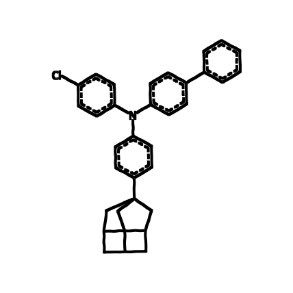 Clc1ccc(N(c2ccc(-c3ccccc3)cc2)c2ccc(C34CC5CC6CC(C3)C65C4)cc2)cc1